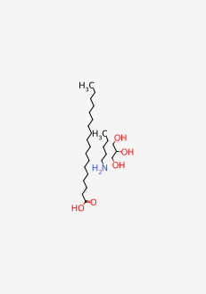 CCCCCCCCCCCCCCCCCC(=O)O.CCCCCN.OCC(O)CO